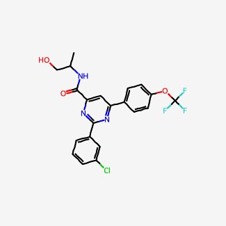 CC(CO)NC(=O)c1cc(-c2ccc(OC(F)(F)F)cc2)nc(-c2cccc(Cl)c2)n1